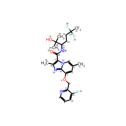 Cc1cc(OCc2ncccc2F)c2nc(C)c(C(=O)NC(CCC(F)(F)C(F)(F)F)C(C)(C)O)n2c1